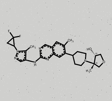 Cc1cc2cnc(Nc3cnn(C4CC4(F)F)c3C)nc2cc1C1CCN([C@@]2(C)COC[C@H]2O)CC1